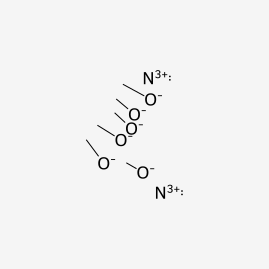 C[O-].C[O-].C[O-].C[O-].C[O-].C[O-].[N+3].[N+3]